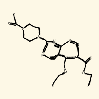 CCOC(=O)c1cnc2nc(N3CCN(C(C)=O)CC3)ncc2c1OCC